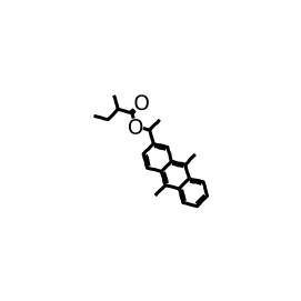 CCC(C)C(=O)OC(C)c1ccc2c(C)c3ccccc3c(C)c2c1